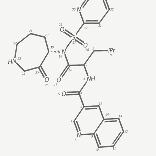 CC(C)CC(NC(=O)c1cnc2ccccc2c1)C(=O)N([C@H]1CCCNCC1=O)S(=O)(=O)c1ccccn1